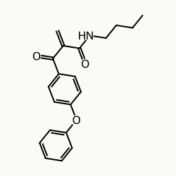 C=C(C(=O)NCCCC)C(=O)c1ccc(Oc2ccccc2)cc1